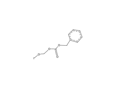 O=C(OCOI)OCc1ccccc1